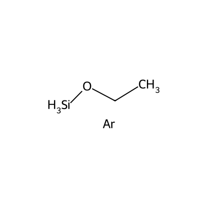 CCO[SiH3].[Ar]